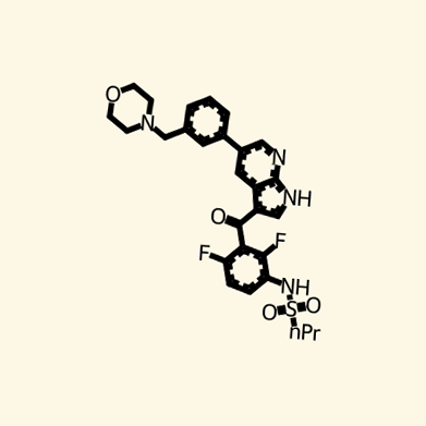 CCCS(=O)(=O)Nc1ccc(F)c(C(=O)c2c[nH]c3ncc(-c4cccc(CN5CCOCC5)c4)cc23)c1F